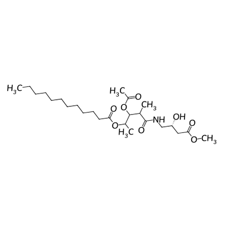 CCCCCCCCCCCC(=O)OC(C)C(OC(C)=O)C(C)C(=O)NC[C@H](O)CC(=O)OC